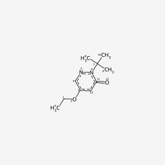 CCOc1cnn(C(C)(C)C)c(=O)c1